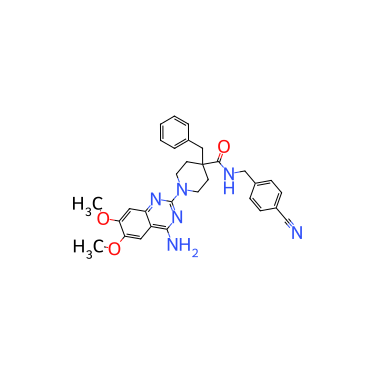 COc1cc2nc(N3CCC(Cc4ccccc4)(C(=O)NCc4ccc(C#N)cc4)CC3)nc(N)c2cc1OC